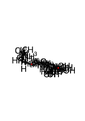 Cc1nc(N)c(C(=O)NC(=N)NCCCCc2ccc3cc(CC(N)C(=O)Nc4ccc(CCCN(CC(O)C(O)C(O)C(O)CO)CC(O)C(O)C(O)C(O)CO)cc4)ccc3c2)nc1Cl